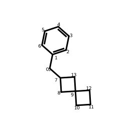 [CH](c1ccccc1)C1CC2(CCC2)C1